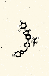 O=C(O)C(F)(F)F.O=C1CC[C@H](N2Cc3cc(N4CCN(CC5CC6(CCNCC6)C5)CC4)ccc3C2=O)C(=O)N1